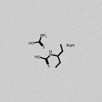 CCC(CC)NC(O)=S.NC(O)=S.[NaH]